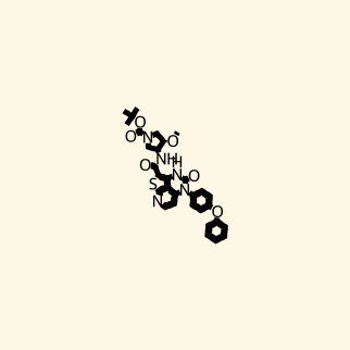 CO[C@H]1CN(C(=O)OC(C)(C)C)CC1NC(=O)c1sc2nccc3c2c1NC(=O)N3c1ccc(Oc2ccccc2)cc1